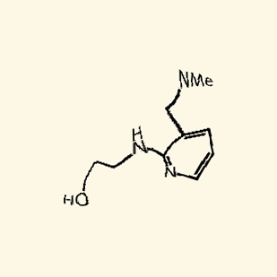 CNCc1cccnc1NCCO